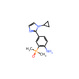 CP(C)(=O)c1cc(-c2nccn2C2CC2)ccc1N